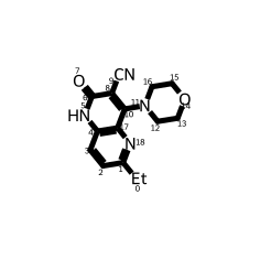 CCc1ccc2[nH]c(=O)c(C#N)c(N3CCOCC3)c2n1